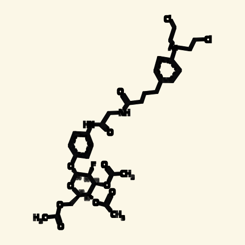 CC(=O)OC[C@H]1O[C@@H](Oc2ccc(NC(=O)CNC(=O)CCCc3ccc([As](CCCl)CCCl)cc3)cc2)[C@@H](F)[C@@H](OC(C)=O)[C@@H]1OC(C)=O